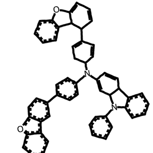 C1=CC(C2=CCC(N(C3=CC4C(C=C3)c3ccccc3N4c3ccccc3)c3ccc(-c4ccc5oc6ccccc6c5c4)cc3)C=C2)C2C(=C1)Oc1ccccc12